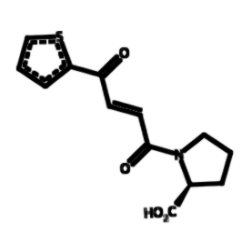 O=C(/C=C/C(=O)N1CCC[C@H]1C(=O)O)c1cccs1